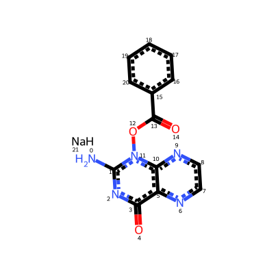 Nc1nc(=O)c2nccnc2n1OC(=O)c1ccccc1.[NaH]